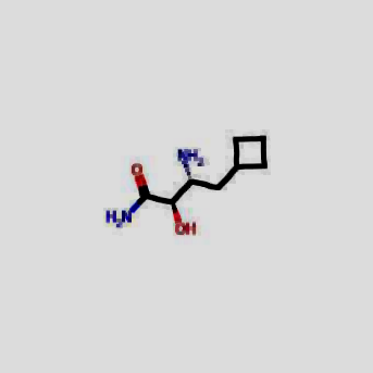 NC(=O)[C@H](O)[C@H](N)CC1CCC1